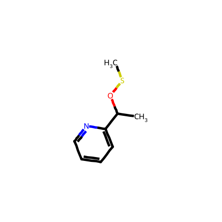 CSOC(C)c1ccccn1